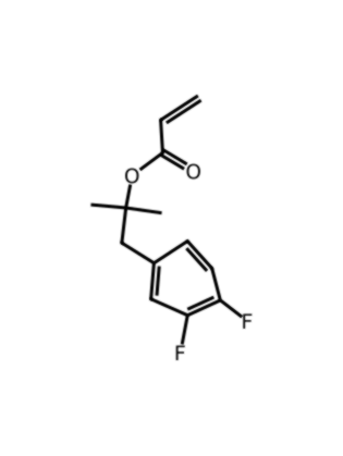 C=CC(=O)OC(C)(C)Cc1ccc(F)c(F)c1